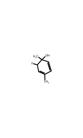 CC1=CC(F)C(C)(O)C=C1